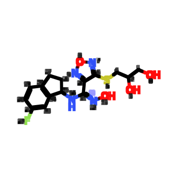 OCC(O)CSc1nonc1/C(=N\O)NC1CCc2ccc(F)cc21